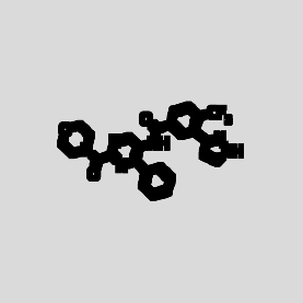 O=C(Nc1cnc(C(=O)N2CCOCC2)nc1-c1ccccc1)c1ccc(C(F)(F)F)c(-c2cc[nH]n2)c1